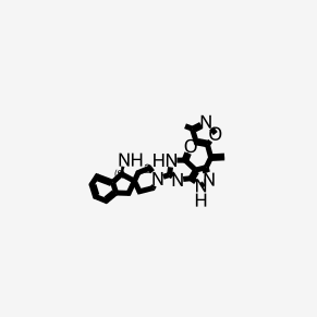 C=C(c1cc(C)no1)c1n[nH]c2nc(N3CCC4(CC3)Cc3ccccc3[C@H]4N)[nH]c(=O)c12